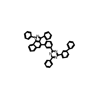 c1ccc(-c2cccc(-c3nc(-c4ccccc4)nc(-c4cccc(-c5cc6ccccc6c6c5c(-c5ccccc5)nn6-c5ccccc5)c4)n3)c2)cc1